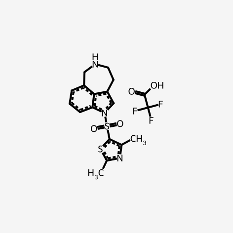 Cc1nc(C)c(S(=O)(=O)n2cc3c4c(cccc42)CNCC3)s1.O=C(O)C(F)(F)F